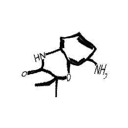 CC1(C)Oc2c(N)cccc2NC1=O